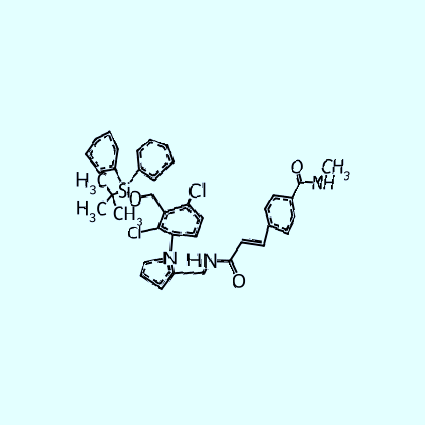 CNC(=O)c1ccc(C=CC(=O)NCc2cccn2-c2ccc(Cl)c(CO[Si](c3ccccc3)(c3ccccc3)C(C)(C)C)c2Cl)cc1